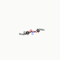 COc1ccc(OCCONC(=O)COc2ccc(CC(OC)C(=O)O)cc2)cc1